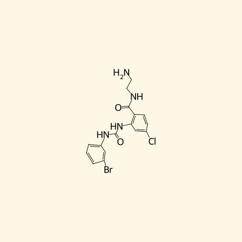 NCCNC(=O)c1ccc(Cl)cc1NC(=O)Nc1cccc(Br)c1